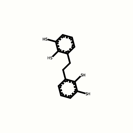 Sc1cccc(CCc2cccc(S)c2S)c1S